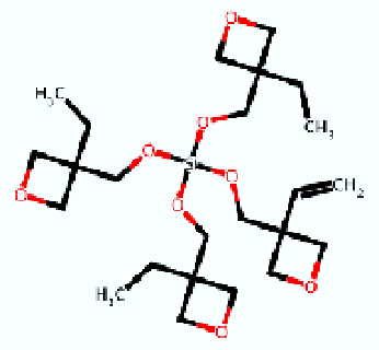 C=CC1(CO[Si](OCC2(CC)COC2)(OCC2(CC)COC2)OCC2(CC)COC2)COC1